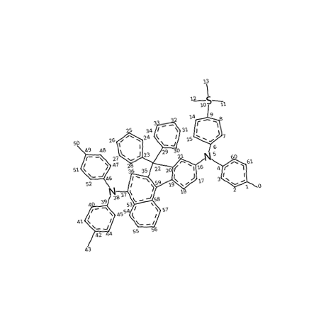 Cc1ccc(N(c2ccc(S(C)(C)C)cc2)c2ccc3c(c2)C(c2ccccc2)(c2ccccc2)c2cc(N(c4ccc(C)cc4)c4ccc(C)cc4)c4ccccc4c2-3)cc1